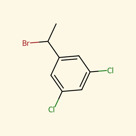 CC(Br)c1cc(Cl)cc(Cl)c1